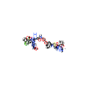 CN[C@@H](C)C(=O)N[C@H](C(=O)N1CCC[C@H]1c1nc(-c2ccc(OCCOCCN(C)C(=O)CCNc3nc(N4CCN(C(C)=O)CC4)c4cc(Cl)c(-c5c(O)cccc5F)c(F)c4n3)c3ccccc23)cs1)C1CCCCC1